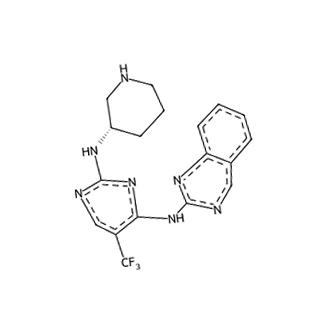 FC(F)(F)c1cnc(N[C@H]2CCCNC2)nc1Nc1ncc2ccccc2n1